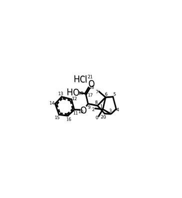 CC1(C)C2CCC1(C)C(C(Oc1ccccc1)C(=O)O)C2.Cl